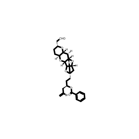 C=C(Br)C[C@@H](CC[C@@]12C[C@H]3O[C@H]4[C@@H](O1)[C@H]1O[C@@H](CC=O)CC[C@@H]1O[C@H]4C3O2)OC(=O)c1ccccc1